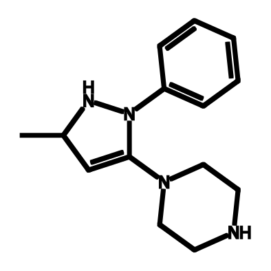 CC1C=C(N2CCNCC2)N(c2ccccc2)N1